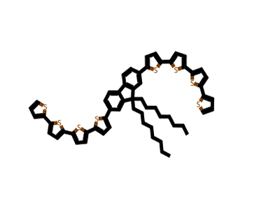 CCCCCCCCC1(CCCCCCCC)c2cc(-c3ccc(-c4ccc(-c5ccc(-c6cccs6)s5)s4)s3)ccc2-c2ccc(-c3ccc(-c4ccc(-c5ccc(-c6cccs6)s5)s4)s3)cc21